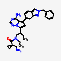 CCC(CN(CC)C(=O)C1(CN)CC1)c1cc(-c2ccc3cn(Cc4ccccc4)nc3c2)c2c(N)ncnn12